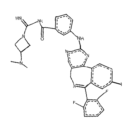 CN(C)C1CN(C(=N)NC(=O)c2cccc(Nc3ncc4c(n3)-c3ccc(I)cc3C(c3c(F)cccc3F)=NC4)c2)C1